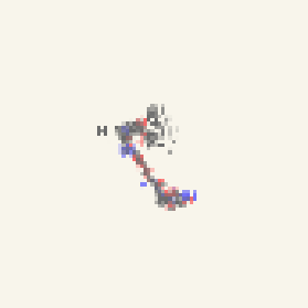 Cc1cc(C)cc(COc2cc3c(cc2OCc2cc(C)cc(C)c2)C2CC(O)(Cc4cn(CCOCCOCCOCCNC(=O)CNc5cccc6c5C(=O)N(C5CCC(=O)NC5=O)C6=O)nn4)CC(C)N2CC3)c1